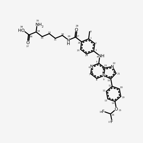 Cc1cc(Nc2nccn3c(-c4ccc(OC(F)F)cc4)cnc23)ccc1C(=O)NCCCCC(N)C(=O)O